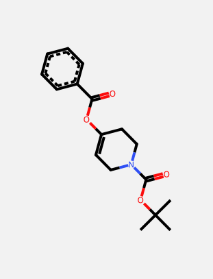 CC(C)(C)OC(=O)N1CC=C(OC(=O)c2ccccc2)CC1